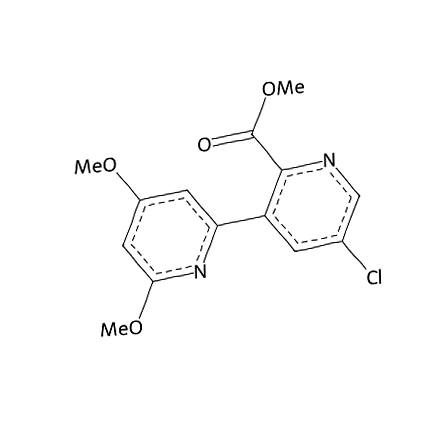 COC(=O)c1ncc(Cl)cc1-c1cc(OC)cc(OC)n1